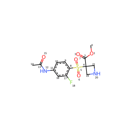 COC(=O)C1(S(=O)(=O)c2ccc(NC(C)=O)cc2F)CNC1